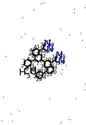 Cc1cccc(-c2cc(-c3cc(-c4cncnc4)c4cccc(-c5cccc(C)c5)c4c3)cc3c(-c4cncnc4)cccc23)c1